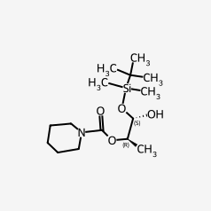 C[C@@H](OC(=O)N1CCCCC1)[C@@H](O)O[Si](C)(C)C(C)(C)C